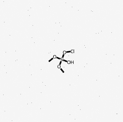 CO[Si](O)(OC)OCl